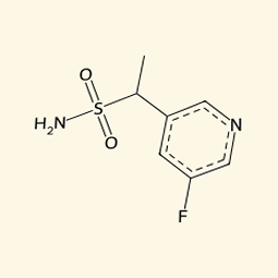 CC(c1cncc(F)c1)S(N)(=O)=O